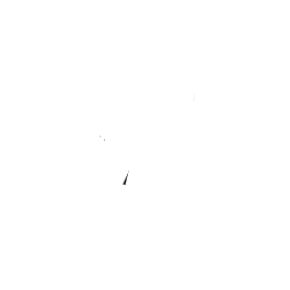 CCC(C)C[C@H](N)C=O